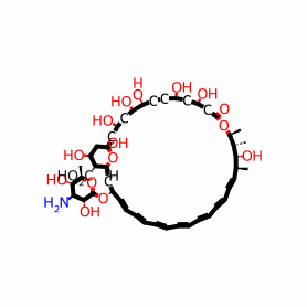 C[C@@H]1[C@H](O)[C@@H](C)/C=C/C=C/C=C/C=C/C=C/C=C/C=C/[C@H](OC2O[C@H](C)[C@@H](O)[C@H](N)[C@H]2O)C[C@@H]2O[C@](O)(C[C@@H](O)C[C@@H](O)[C@H](O)CC[C@@H](O)C[C@@H](O)CC(=O)O[C@H]1C)C[C@H](O)[C@H]2C(=O)O